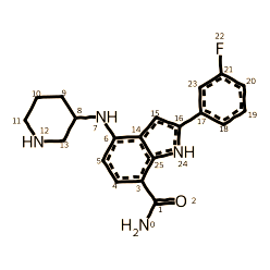 NC(=O)c1ccc(NC2CCCNC2)c2cc(-c3cccc(F)c3)[nH]c12